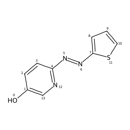 Oc1ccc(N=Nc2cccs2)nc1